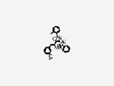 COc1cccc(CC(N)c2oc(-c3ccccc3C)nc2S(=O)(=O)c2ccccc2)c1